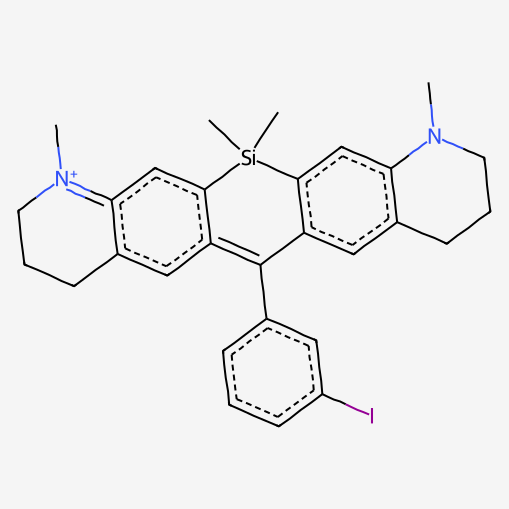 CN1CCCc2cc3c(cc21)[Si](C)(C)c1cc2c(cc1=C3c1cccc(I)c1)CCC[N+]=2C